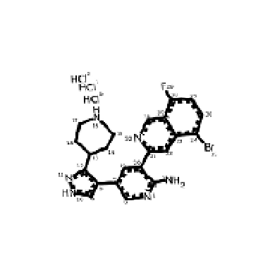 Cl.Cl.Cl.Nc1ncc(-c2c[nH]nc2C2CCNCC2)cc1-c1cc2c(Br)ccc(F)c2cn1